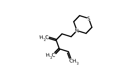 C=CC(=C)C(=C)CCN1CCSCC1